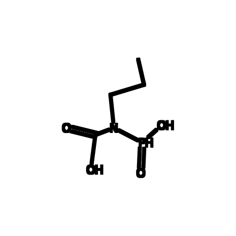 CCCN(C(=O)O)[PH](=O)O